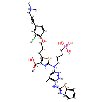 Cc1cc(N(CCCCP(=O)(O)O)c2nc(C(=O)O)c(CCCOc3ccc(C#CCN(C)C)cc3F)s2)nnc1Nc1nc2ccccc2s1